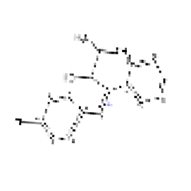 C=C(C)C(O)/C(=C\c1ccc(Cl)cc1)c1ccccc1